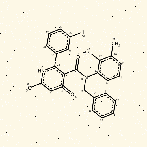 Cc1cc(=O)c(C(=O)N(Cc2ccccc2)c2cccc(C)c2C)c(-c2cccc(Cl)c2)[nH]1